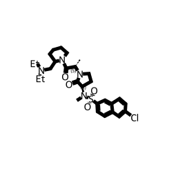 CCN(CC)CC1CCCCN1C(=O)[C@H](C)N1CC[C@@H](N(C)S(=O)(=O)c2ccc3cc(Cl)ccc3c2)C1=O